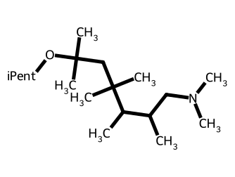 CCCC(C)OC(C)(C)CC(C)(C)C(C)C(C)CN(C)C